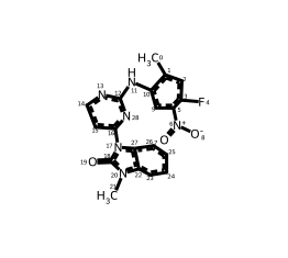 Cc1cc(F)c([N+](=O)[O-])cc1Nc1nccc(-n2c(=O)n(C)c3ccccc32)n1